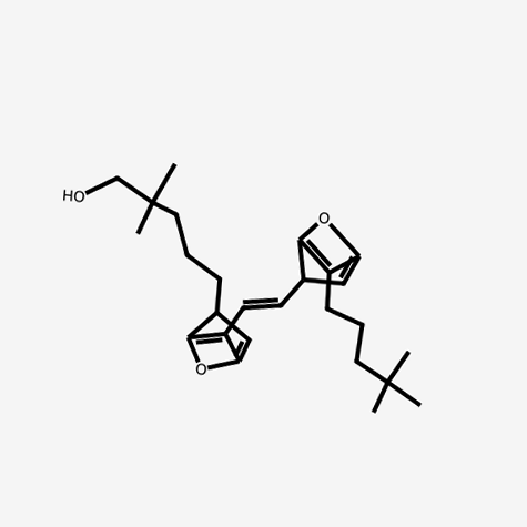 CC(C)(C)CCCC1=C2OC1=CC2C=CC1=C2OC1=CC2CCCC(C)(C)CO